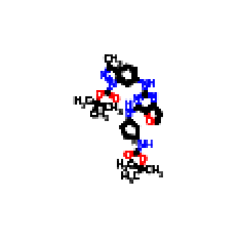 Cc1nn(C(=O)OC(C)(C)C)c2cc(Nc3nc(N[C@@H]4CC[C@H](NC(=O)OC(C)(C)C)C4)c4occc4n3)ccc12